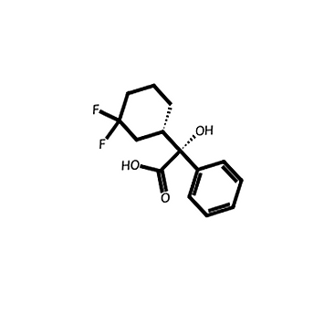 O=C(O)[C@](O)(c1ccccc1)[C@H]1CCCC(F)(F)C1